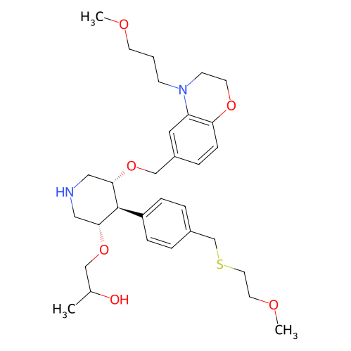 COCCCN1CCOc2ccc(CO[C@H]3CNC[C@@H](OCC(C)O)[C@@H]3c3ccc(CSCCOC)cc3)cc21